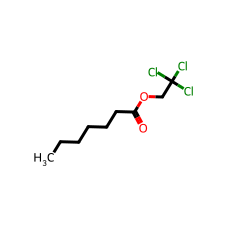 CCCCCCC(=O)OCC(Cl)(Cl)Cl